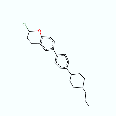 CCCC1CCC(c2ccc(-c3ccc4c(c3)CCC(Cl)O4)cc2)CC1